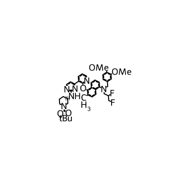 COc1ccc(CN(CC(F)CF)c2cccc3c(Oc4ncccc4-c4ccnc(N[C@H]5CCCN(C(=O)OC(C)(C)C)C5)n4)c(C)ccc23)cc1OC